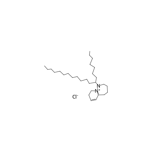 CCCCCCCCCCCCC(CCCCCCC)N1CCCCC2=[N+]1CCC=C2.[Cl-]